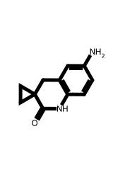 Nc1ccc2c(c1)CC1(CC1)C(=O)N2